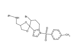 Cc1ccc(S(=O)(=O)n2ccc3c2CCC(Br)C32OCC(CNC(C)C)O2)cc1